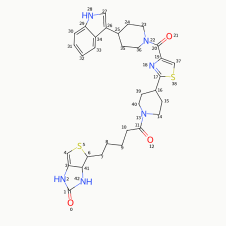 O=C1NC2=CSC(CCCCC(=O)N3CCC(c4nc(C(=O)N5CCC(c6c[nH]c7ccccc67)CC5)cs4)CC3)C2N1